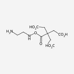 NCCNOC(=O)C(CC(=O)O)(CC(=O)O)CC(=O)O